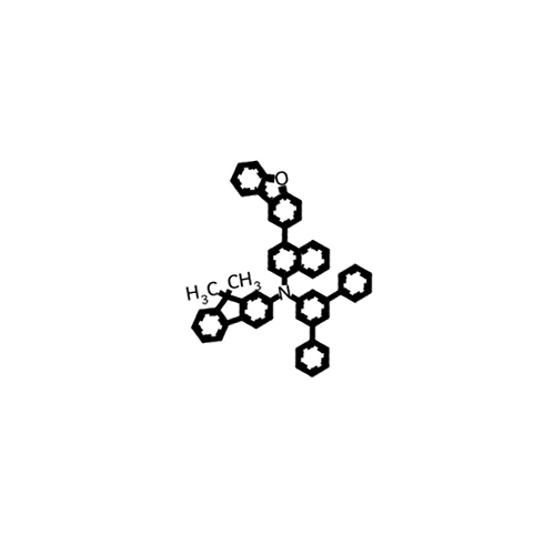 CC1(C)c2ccccc2-c2ccc(N(c3cc(-c4ccccc4)cc(-c4ccccc4)c3)c3ccc(-c4ccc5oc6ccccc6c5c4)c4ccccc34)cc21